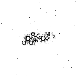 Cc1c(N2CCC3(CCC3N)CC2)nc(C)n(-c2cccc(Cl)c2Cl)c1=O